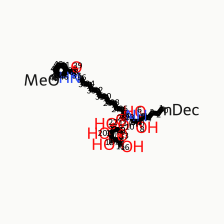 CCCCCCCCCCCCCC[C@@H](O)[C@@H](O)[C@H](CO[C@H]1OC(CO)[C@H](O)[C@H](O)C1O)NC(=O)CCCCCCCCCCCNC(=O)c1cccc(OC)c1